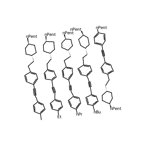 CCCCC[C@H]1CC[C@H](CCc2ccc(C#Cc3ccc(C)cc3)cc2)CC1.CCCCC[C@H]1CC[C@H](CCc2ccc(C#Cc3ccc(CC)cc3)cc2)CC1.CCCCC[C@H]1CC[C@H](CCc2ccc(C#Cc3ccc(CCC)cc3)cc2)CC1.CCCCC[C@H]1CC[C@H](CCc2ccc(C#Cc3ccc(CCCC)cc3)cc2)CC1.CCCCCc1ccc(C#Cc2ccc(CC[C@H]3CC[C@H](CCCCC)CC3)cc2)cc1